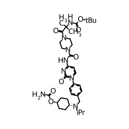 CC(C)N(Cc1ccc(-n2ccc(NC(=O)N3CCN(C(=O)C(C)(C)NC(=O)OC(C)(C)C)CC3)nc2=O)cc1)[C@H]1CC[C@H](OC(N)=O)CC1